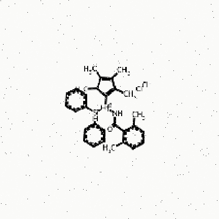 CC1=C(C)C(C)[C]([Hf+2]([NH]C(=O)c2c(C)cccc2C)[SiH](c2ccccc2)c2ccccc2)=C1C.[Cl-].[Cl-]